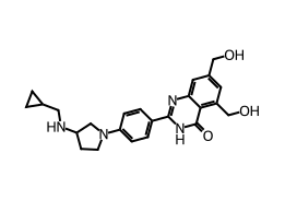 O=c1[nH]c(-c2ccc(N3CCC(NCC4CC4)C3)cc2)nc2cc(CO)cc(CO)c12